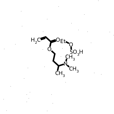 C=CC(=O)OCCC(C)N(C)C.CCOS(=O)(=O)O